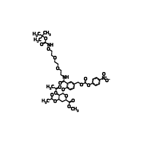 COC(=O)C1CC(OC(C)=O)[C@@H](OC(C)=O)[C@H](Oc2ccc(COC(=O)Oc3ccc([N+](=O)[O-])cc3)cc2C(=O)NCCOCCOCCONC(=O)OC(C)(C)C)O1